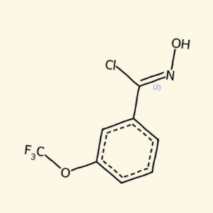 O/N=C(\Cl)c1cccc(OC(F)(F)F)c1